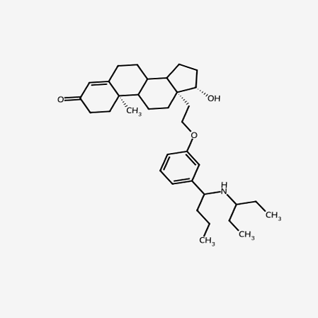 CCCC(NC(CC)CC)c1cccc(OCC[C@]23CCC4C(CCC5=CC(=O)CC[C@@]54C)C2CC[C@@H]3O)c1